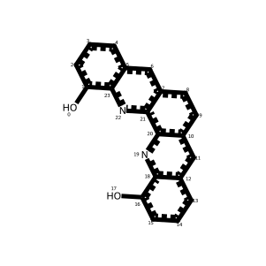 Oc1cccc2cc3ccc4cc5cccc(O)c5nc4c3nc12